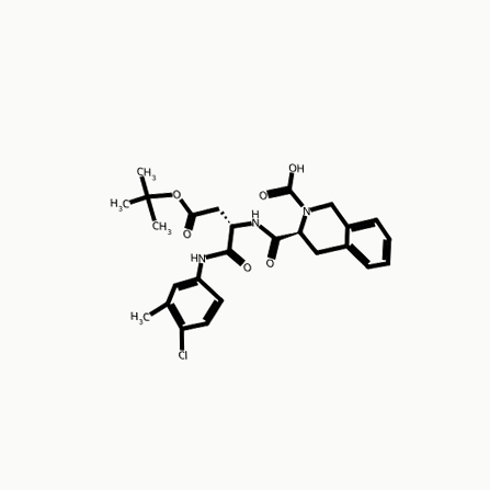 Cc1cc(NC(=O)[C@H](CC(=O)OC(C)(C)C)NC(=O)[C@@H]2Cc3ccccc3CN2C(=O)O)ccc1Cl